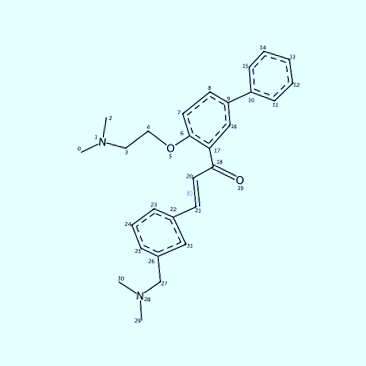 CN(C)CCOc1ccc(-c2ccccc2)cc1C(=O)/C=C/c1cccc(CN(C)C)c1